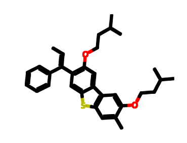 CC=C(c1ccccc1)c1cc2sc3cc(C)c(OCCC(C)C)cc3c2cc1OCCC(C)C